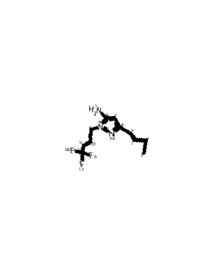 CCCCc1cc(N)n(CCCC(F)(F)F)n1